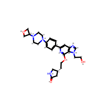 O=C1C[C@@H](CCOc2nc(-c3ccc(N4CCN(C5COC5)CC4)cc3)cc3ncn(CCO)c23)CN1